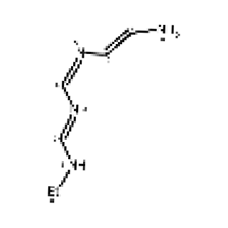 CCN/C=N/C=N\C=C\N